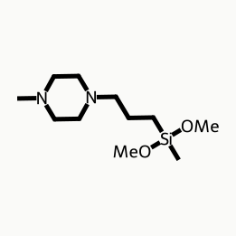 CO[Si](C)(CCCN1CCN(C)CC1)OC